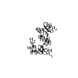 CCOC(=O)CNP(=O)(OCCSC(=O)C(C)(C)CO)OC[C@H]1O[C@@H](n2cnc3c(=O)[nH]c(N)nc32)[C@](C)(O)[C@@H]1O